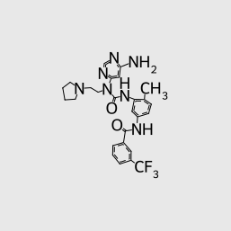 Cc1ccc(NC(=O)c2cccc(C(F)(F)F)c2)cc1NC(=O)N(CCN1CCCC1)c1cc(N)ncn1